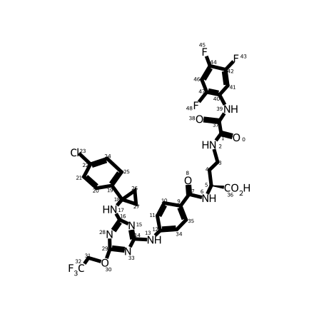 O=C(NCC[C@H](NC(=O)c1ccc(Nc2nc(NC3(c4ccc(Cl)cc4)CC3)nc(OCC(F)(F)F)n2)cc1)C(=O)O)C(=O)Nc1cc(F)c(F)cc1F